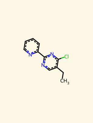 CCc1cnc(-c2ccccn2)nc1Cl